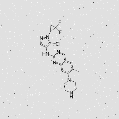 Cc1cc2cnc(Nc3cnn(C4CC4(F)F)c3Cl)nc2cc1N1CCNCC1